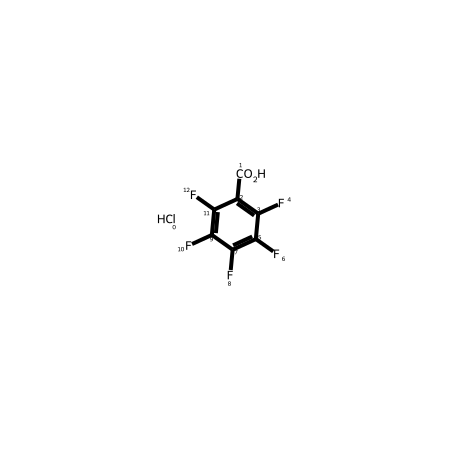 Cl.O=C(O)c1c(F)c(F)c(F)c(F)c1F